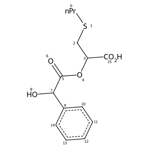 CCCSCC(OC(=O)C(O)c1ccccc1)C(=O)O